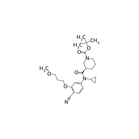 COCCCOc1cc(N(C(=O)[C@@H]2CCCN(C(=O)OC(C)(C)C)C2)C2CC2)ccc1C#N